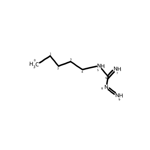 CCCCCNC(=N)N=N